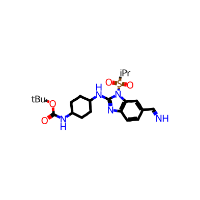 CC(C)S(=O)(=O)n1c(NC2CCC(NC(=O)OC(C)(C)C)CC2)nc2ccc(C=N)cc21